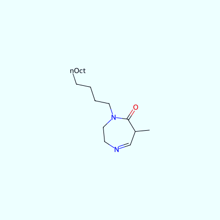 CCCCCCCCCCCCN1CCN=CC(C)C1=O